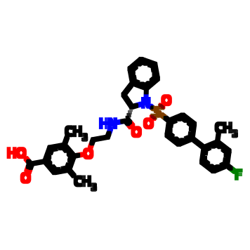 Cc1cc(F)ccc1-c1ccc(S(=O)(=O)N2c3ccccc3C[C@H]2C(=O)NCCOc2c(C)cc(C(=O)O)cc2C)cc1